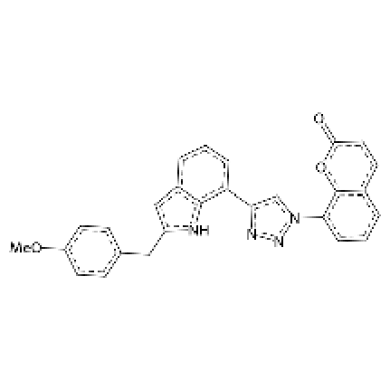 COc1ccc(Cc2cc3cccc(-c4cn(-c5cccc6ccc(=O)oc56)nn4)c3[nH]2)cc1